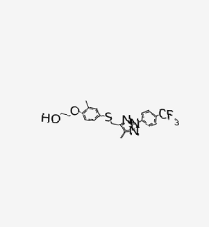 Cc1cc(SCc2nn(-c3ccc(C(F)(F)F)cc3)nc2C)ccc1OCCO